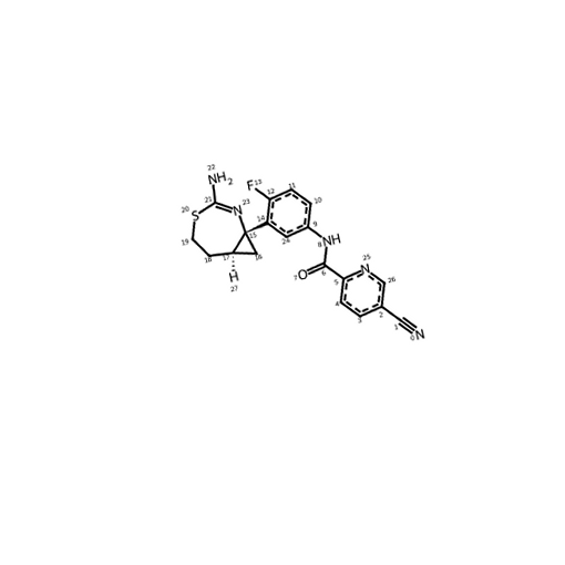 N#Cc1ccc(C(=O)Nc2ccc(F)c([C@@]34C[C@H]3CCSC(N)=N4)c2)nc1